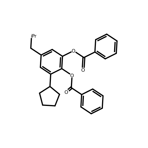 CC(C)Cc1cc(OC(=O)c2ccccc2)c(OC(=O)c2ccccc2)c(C2CCCC2)c1